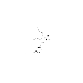 Cn1c([N+](=O)[O-])cnc1COP(N)(=O)N(CCCl)CCCl